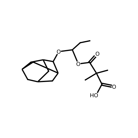 CCC(OC(=O)C(C)(C)C(=O)O)OC1C2CC3CC(C2)CC1C3